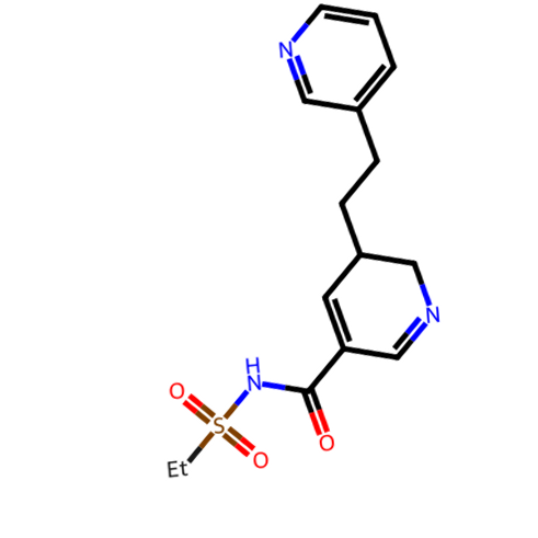 CCS(=O)(=O)NC(=O)C1=CC(CCc2cccnc2)CN=C1